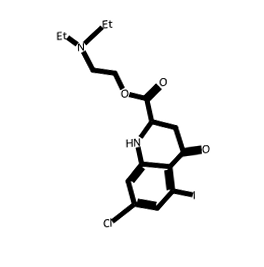 CCN(CC)CCOC(=O)C1CC(=O)c2c(I)cc(Cl)cc2N1